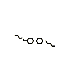 C=CCCC[C@H]1CC[C@H](C2CCC(COCCC)CC2)CC1